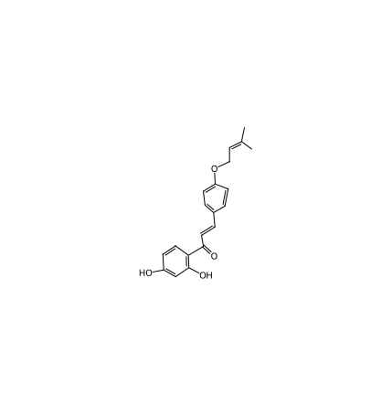 CC(C)=CCOc1ccc(C=CC(=O)c2ccc(O)cc2O)cc1